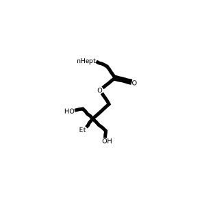 CCCCCCCCC(=O)OCC(CC)(CO)CO